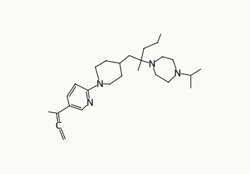 C=C=C(C)c1ccc(N2CCC(CC(C)(CCC)N3CCN(C(C)C)CC3)CC2)nc1